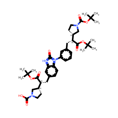 CC(C)(C)OC(=O)[C@H](Cc1ccc2c(c1)[nH]c(=O)n2-c1cccc(C[C@@H](C(=O)OC(C)(C)C)[C@@H]2CCN(C(=O)OC(C)(C)C)C2)c1)[C@@H]1CCN(C(=O)O)C1